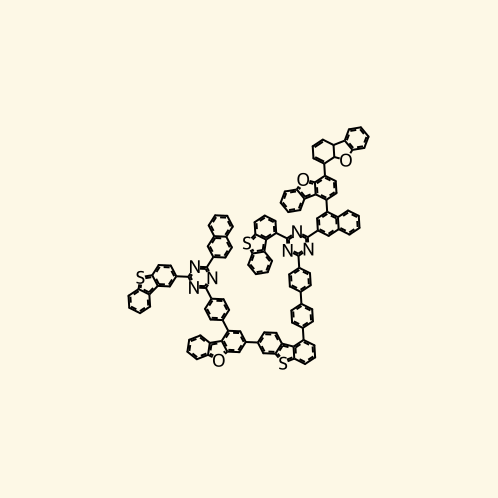 C1=CC2c3ccccc3OC2C(c2ccc(-c3cc(-c4nc(-c5ccc(-c6ccc(-c7cccc8sc9cc(-c%10cc(-c%11ccc(-c%12nc(-c%13ccc%14ccccc%14c%13)nc(-c%13ccc%14sc%15ccccc%15c%14c%13)n%12)cc%11)c%11c(c%10)oc%10ccccc%10%11)ccc9c78)cc6)cc5)nc(-c5cccc6sc7ccccc7c56)n4)cc4ccccc34)c3c2oc2ccccc23)=C1